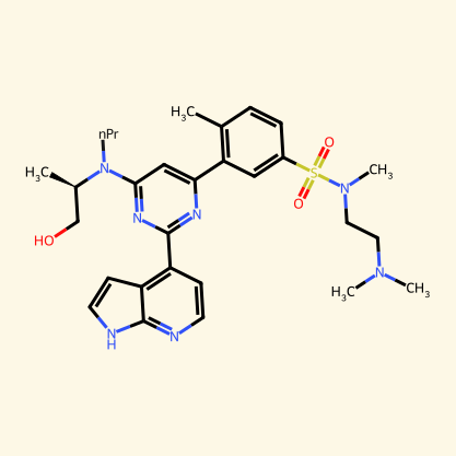 CCCN(c1cc(-c2cc(S(=O)(=O)N(C)CCN(C)C)ccc2C)nc(-c2ccnc3[nH]ccc23)n1)[C@H](C)CO